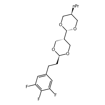 CCC[C@H]1CO[C@H]([C@H]2CO[C@H](CCc3cc(F)c(F)c(F)c3)OC2)OC1